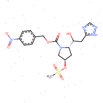 CS(=O)(=O)O[C@@H]1C[C@@H](C(O)Cc2ncn[nH]2)N(C(=O)OCc2ccc([N+](=O)[O-])cc2)C1